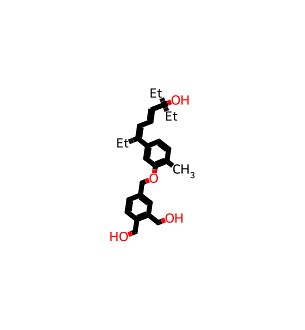 CC/C(=C/C=C/C(O)(CC)CC)c1ccc(C)c(OCc2ccc(CO)c(CO)c2)c1